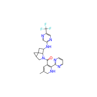 CC1=CC(C(=O)N2CC3CC34CC(Nc3cnc(C(F)(F)F)cn3)C24)=C(c2ncccn2)NC1